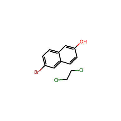 ClCCCl.Oc1ccc2cc(Br)ccc2c1